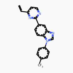 C=Cc1ccnc(-c2ccc3c(c2)ncn3-c2ccc(C(F)(F)F)cc2)n1